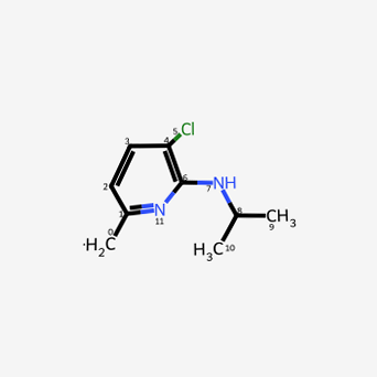 [CH2]c1ccc(Cl)c(NC(C)C)n1